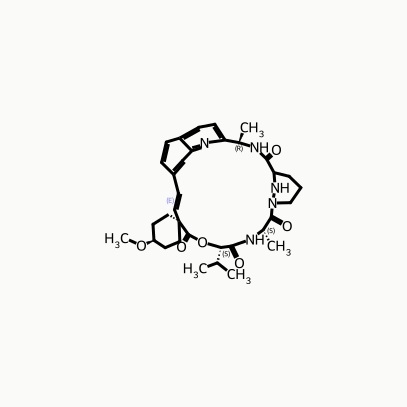 CO[C@H]1CC[C@@]2(/C=C/c3ccc4ccc(nc4c3)[C@@H](C)NC(=O)C3CCCN(N3)C(=O)[C@H](C)NC(=O)[C@H](C(C)C)OC2=O)CC1